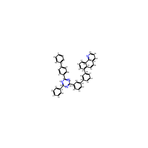 c1ccc(-c2ccc(-c3nc(-c4ccccc4)nc(-c4cccc(-c5cccc(-c6cccc7c6ccc6cccnc67)c5)c4)n3)cc2)cc1